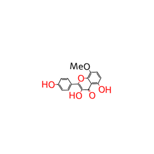 COc1ccc(O)c2c(=O)c(O)c(-c3ccc(O)cc3)oc12